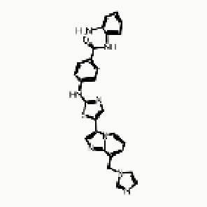 Nc1ccccc1NC(=O)c1ccc(Nc2ncc(-c3cnc4c(Cn5ccnc5)cccn34)s2)cc1